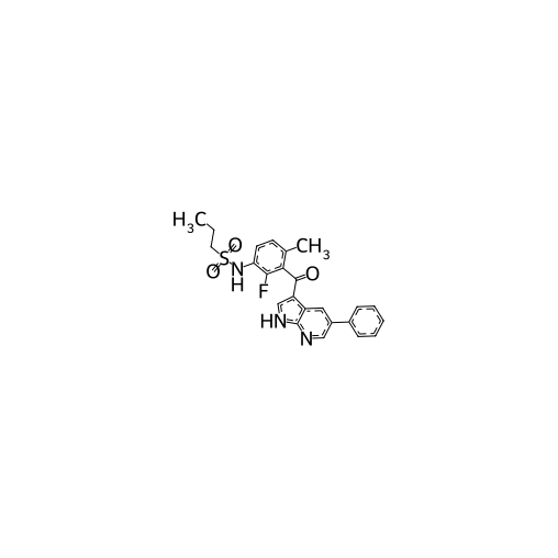 CCCS(=O)(=O)Nc1ccc(C)c(C(=O)c2c[nH]c3ncc(-c4ccccc4)cc23)c1F